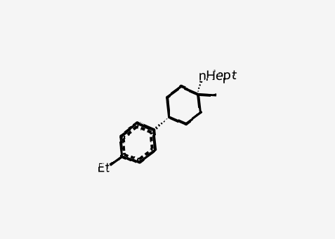 CCCCCCC[C@]1(C)CC[C@H](c2ccc(CC)cc2)CC1